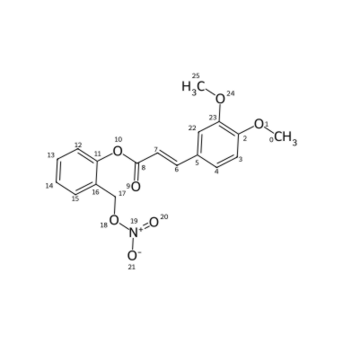 COc1ccc(/C=C/C(=O)Oc2ccccc2CO[N+](=O)[O-])cc1OC